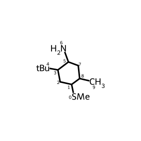 CSC1CC(C(C)(C)C)C(N)CC1C